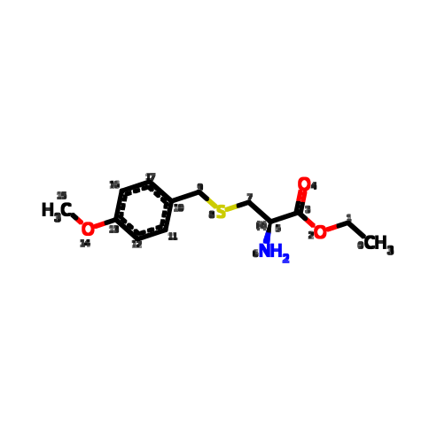 CCOC(=O)[C@@H](N)CSCc1ccc(OC)cc1